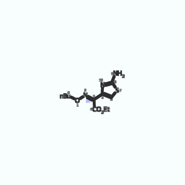 CCCCO/N=C(\C(=O)OCC)c1csc(N)n1